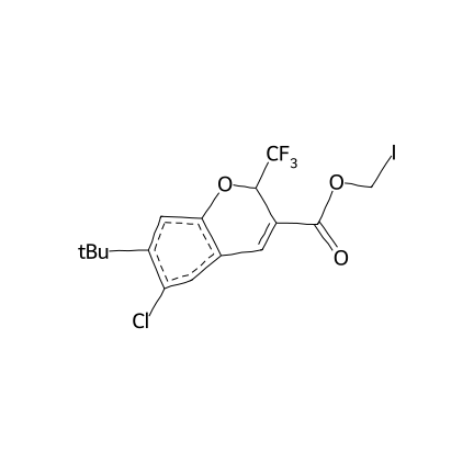 CC(C)(C)c1cc2c(cc1Cl)C=C(C(=O)OCI)C(C(F)(F)F)O2